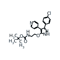 CC(C)(C)OC(=O)NCCOc1[nH]nc(-c2ccc(Cl)cc2)c1-c1ccncc1